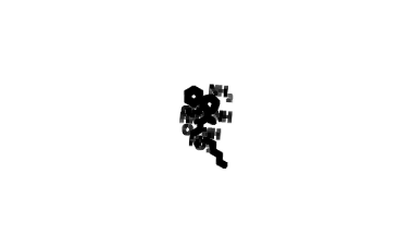 CCCCCC(=O)N[C@H](C(N)=O)[C@@H](NS(=O)(=O)c1ccccc1)c1c[nH]c2cc(N)ccc12